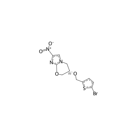 O=[N+]([O-])c1cn2c(n1)OC[C@@H](OCc1ccc(Br)s1)C2